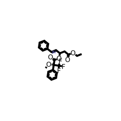 CCOC(=O)CC(/C=C/c1ccccc1)OC(=O)[C@](OC)(c1ccccc1)C(F)(F)F